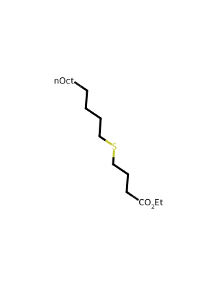 CCCCCCCCCCCCSCCCC(=O)OCC